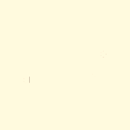 O=C1CC=CC=C1c1ccccc1Cl